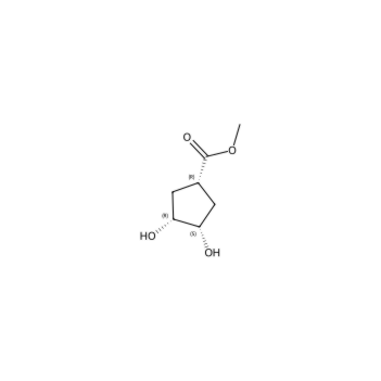 COC(=O)[C@H]1C[C@@H](O)[C@@H](O)C1